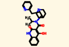 CC(C)N(C(=O)c1c(O)c2ccccc2[nH]c1=O)C1C2CCN(CC2)C1Cc1ccccn1